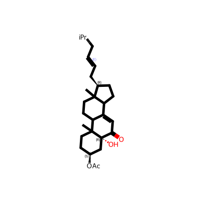 CC(=O)O[C@H]1CCC2(C)C3CCC4(C)C(CC[C@@H]4C/C=C/CC(C)C)C3=CC(=O)[C@@]2(O)C1